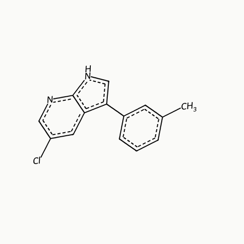 Cc1cccc(-c2c[nH]c3ncc(Cl)cc23)c1